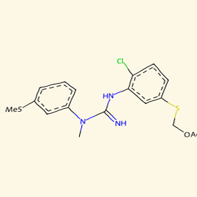 CSc1cccc(N(C)C(=N)Nc2cc(SCOC(C)=O)ccc2Cl)c1